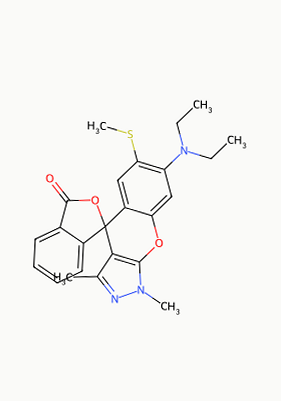 CCN(CC)c1cc2c(cc1SC)C1(OC(=O)c3ccccc31)c1c(C)nn(C)c1O2